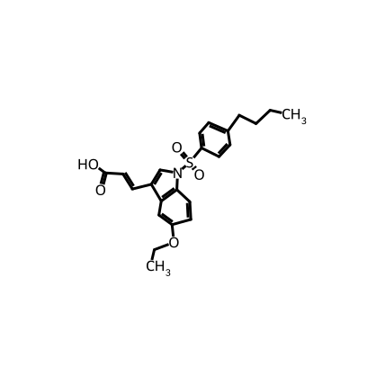 CCCCc1ccc(S(=O)(=O)n2cc(/C=C/C(=O)O)c3cc(OCC)ccc32)cc1